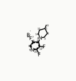 CC1CCN(c2c(F)cnc(F)c2F)CC1.[B]